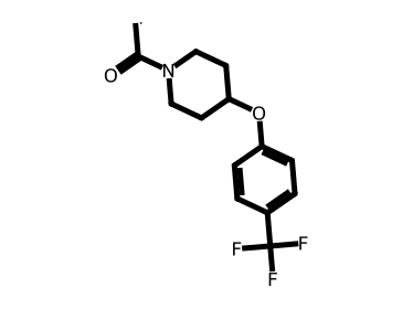 [CH2]C(=O)N1CCC(Oc2ccc(C(F)(F)F)cc2)CC1